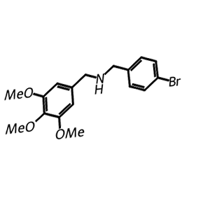 COc1cc(CNCc2ccc(Br)cc2)cc(OC)c1OC